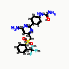 NC(=O)Nc1ccc(-c2nc(N)cc(CS(=O)(=O)c3ccccc3C(F)(F)F)n2)cc1